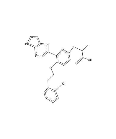 CC(Cc1ccc(OCCc2ccccc2Cl)c(-c2ccc3[nH]ccc3c2)c1)C(=O)O